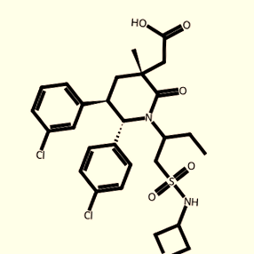 CCC(CS(=O)(=O)NC1COC1)N1C(=O)[C@@](C)(CC(=O)O)C[C@H](c2cccc(Cl)c2)[C@H]1c1ccc(Cl)cc1